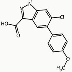 COc1ccc(-c2cc3c(C(=O)O)n[nH]c3cc2Cl)cc1